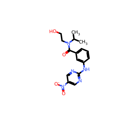 CC(C)N(CCO)C(=O)c1cccc(Nc2ncc([N+](=O)[O-])cn2)c1